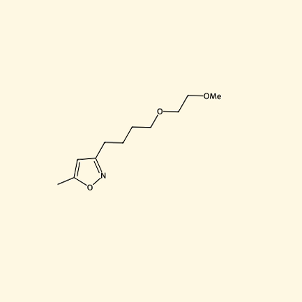 COCCOCCCCc1cc(C)on1